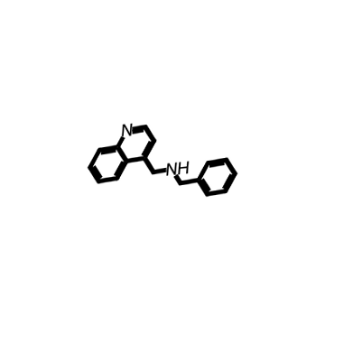 c1ccc(CNCc2ccnc3ccccc23)cc1